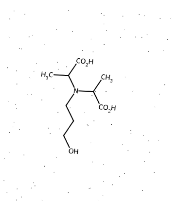 CC(C(=O)O)N(CCCO)C(C)C(=O)O